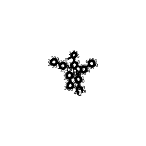 Cc1ccccc1-c1cc2c3c(c1)N(c1ccc(-c4ccccc4)cc1)c1ccc(-c4ccccc4)cc1B3N(c1ccc(-c3ccccc3)cc1)c1ccc(-c3ccccc3)cc1-2